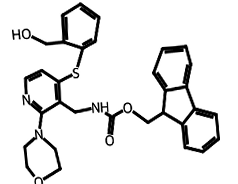 O=C(NCc1c(Sc2ccccc2CO)ccnc1N1CCOCC1)OCC1c2ccccc2-c2ccccc21